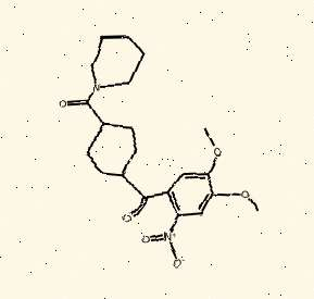 COc1cc(C(=O)C2CCC(C(=O)N3CCCCC3)CC2)c([N+](=O)[O-])cc1OC